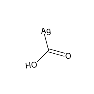 O=[C](O)[Ag]